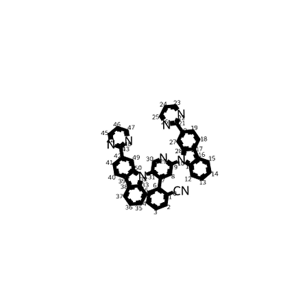 N#Cc1ccccc1-c1cc(-n2c3ccccc3c3ccc(-c4ncccn4)cc32)ncc1-n1c2ccccc2c2ccc(-c3ncccn3)cc21